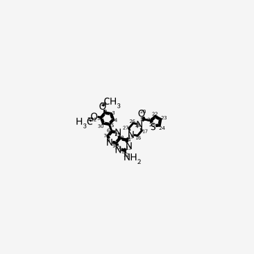 COc1ccc(-c2cnc3nc(N)nc(N4CCN(C(=O)c5cccs5)CC4)c3n2)cc1OC